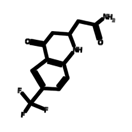 NC(=O)CC1CC(=O)c2cc(C(F)(F)F)ccc2N1